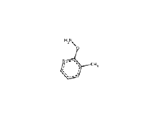 Cc1cccnc1ON